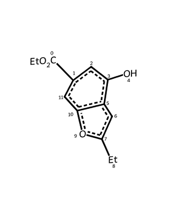 CCOC(=O)c1cc(O)c2cc(CC)oc2c1